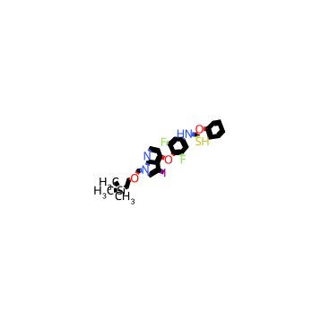 C[Si](C)(C)CCOCn1cc(I)c2c(Oc3c(F)cc(NC(S)Oc4ccccc4)cc3F)ccnc21